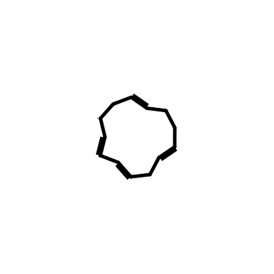 [CH]1/C=C/C=C/C/C=C/CC/C=C/C1